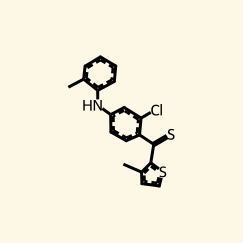 Cc1ccccc1Nc1ccc(C(=S)c2sccc2C)c(Cl)c1